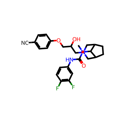 CN(C(=O)Nc1ccc(F)c(F)c1)C1C2CCC1CN(CC(O)COc1ccc(C#N)cc1)C2